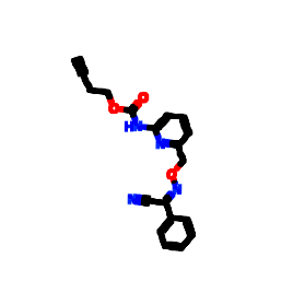 C#CCCOC(=O)Nc1cccc(CON=C(C#N)c2ccccc2)n1